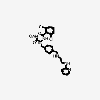 COC(=O)[C@H](Cc1ccc(CNCCNc2ccccn2)cc1)NC(=O)c1c(Cl)cccc1Cl